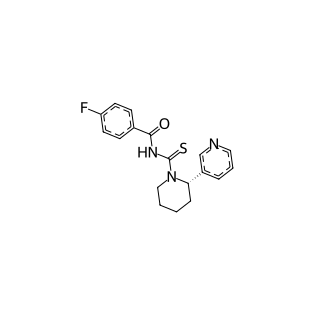 O=C(NC(=S)N1CCCC[C@H]1c1cccnc1)c1ccc(F)cc1